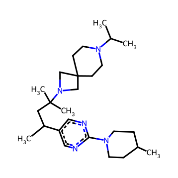 CC1CCN(c2ncc(C(C)CC(C)(C)N3CC4(CCN(C(C)C)CC4)C3)cn2)CC1